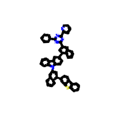 c1ccc(-c2nc(-c3cc(-c4ccc5c(c4)c4ccccc4n5-c4cc(-c5ccc6c(c5)sc5ccccc56)c5ccccc5c4)c4ccccc4c3)nc(-c3ccccn3)n2)cc1